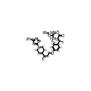 COC(=O)[C@@H](NC(=O)OC(C)(C)C)[C@@H](C)c1ccc(OCC[C@@H](C)C2CCN(c3nc(C(C)C)no3)CC2)cc1F